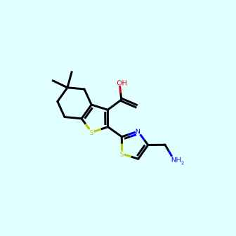 C=C(O)c1c(-c2nc(CN)cs2)sc2c1CC(C)(C)CC2